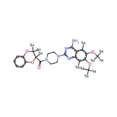 [2H]c1c(OC([2H])([2H])[2H])c(OC([2H])([2H])[2H])c([2H])c2c(N)nc(N3CCN(C(=O)C4([2H])Oc5ccccc5OC4([2H])[2H])CC3)nc12